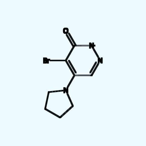 O=C1[N]N=CC(N2CCCC2)=C1Br